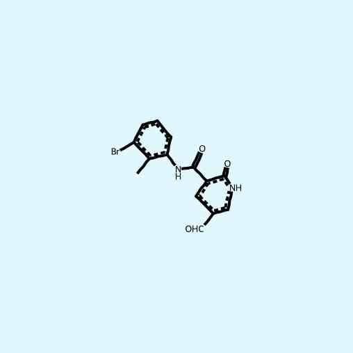 Cc1c(Br)cccc1NC(=O)c1cc(C=O)c[nH]c1=O